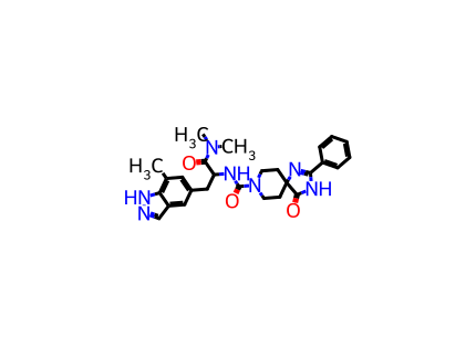 Cc1cc(CC(NC(=O)N2CCC3(CC2)N=C(c2ccccc2)NC3=O)C(=O)N(C)C)cc2cn[nH]c12